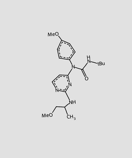 COCC(C)Nc1nccc(N(C(=O)NC(C)(C)C)c2ccc(OC)cc2)n1